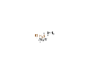 S.[InH3].[MgH+].[SH-]